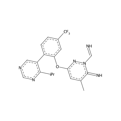 Cc1cc(Oc2cc(C(F)(F)F)ccc2-c2cncnc2C(C)C)nn(C=N)c1=N